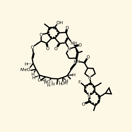 CO[C@H]1/C=C/O[C@@]2(C)Oc3c(C)c(O)c4c(c3C2=O)C(=O)C(N2CCC(NC(=O)C3CCN(c5c(F)cn6c(=O)c(C)cc(C7CC7)c6c5C)C3)CC2)=C(NC(=O)/C(C)=C\C=C\[C@H](C)[C@H](O)[C@@H](C)[C@@H](O)[C@@H](C)[C@H](OC(C)=O)[C@@H]1C)C4=O